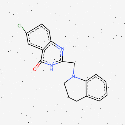 O=c1[nH]c(CN2CCCc3ccccc32)nc2ccc(Cl)cc12